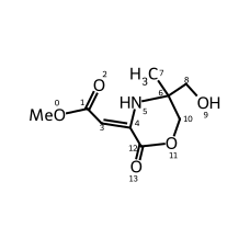 COC(=O)C=C1NC(C)(CO)COC1=O